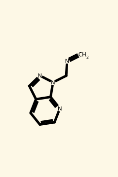 C=NCn1ncc2cccnc21